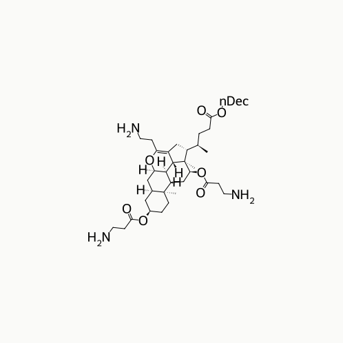 CCCCCCCCCCOC(=O)CC[C@@H](C)[C@H]1CC2=C(CCN)O[C@@H]3C[C@@H]4C[C@H](OC(=O)CCN)CC[C@]4(C)[C@H]4C[C@H](OC(=O)CCN)[C@@]1(C)[C@@H]2[C@H]34